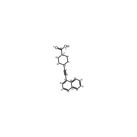 O=C(O)N1CCC(C#Cc2cccc3ccccc23)CC1